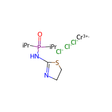 CC(C)P(=O)(NC1=NCCS1)C(C)C.[Cl-].[Cl-].[Cl-].[Cr+3]